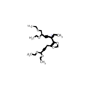 C/C=C(/C#CC(COCC)OCC)C1=C(CC#CC(OCC)OCC)OCO1